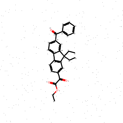 CCOC(=O)C(=O)c1ccc2c(c1)C(CC)(CC)c1cc(C(=O)c3ccccc3)ccc1-2